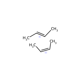 C/C=C/C.C/C=C\C